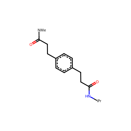 CNC(=O)CCc1ccc(CCC(=O)NC(C)C)cc1